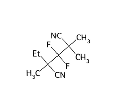 CCC(C)(C#N)C(F)(F)C(C)(C)C#N